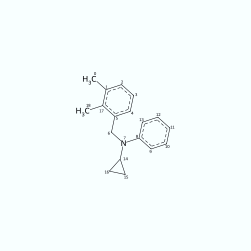 Cc1cccc(CN(c2ccccc2)C2CC2)c1C